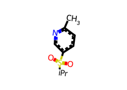 Cc1ccc(S(=O)(=O)C(C)C)cn1